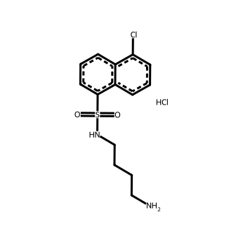 Cl.NCCCCNS(=O)(=O)c1cccc2c(Cl)cccc12